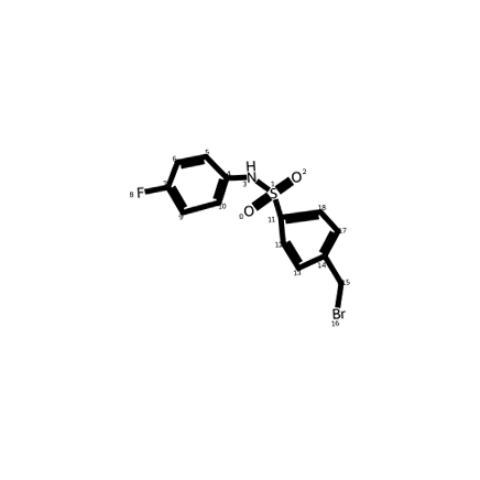 O=S(=O)(Nc1ccc(F)cc1)c1ccc(CBr)cc1